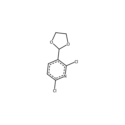 Clc1ccc(C2OCCO2)c(Cl)n1